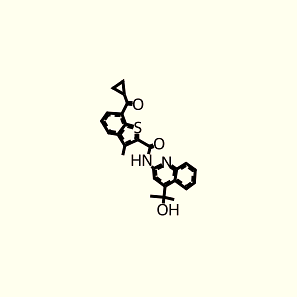 Cc1c(C(=O)Nc2cc(C(C)(C)O)c3ccccc3n2)sc2c(C(=O)C3CC3)cccc12